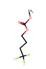 COC(=O)OCCCC(F)(F)F